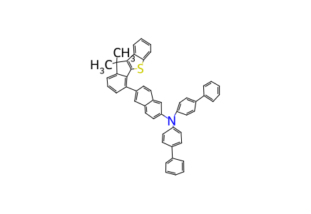 CC1(C)c2cccc(-c3ccc4cc(N(c5ccc(-c6ccccc6)cc5)c5ccc(-c6ccccc6)cc5)ccc4c3)c2-c2sc3ccccc3c21